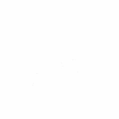 COC(=O)c1ccc2nc(-c3cccc4ccccc34)n(S(=O)(=O)c3ccc(C(F)(F)F)cc3)c2c1